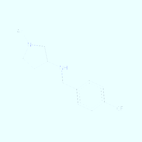 CC(=O)N1CCC(NCc2ccc(C(F)(F)F)cc2)C1